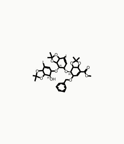 COC(=O)C1=CC(OCc2ccccc2)[C@@H](OC2C=C(I)C3OC(C)(C)OC3[C@@H]2OC2C=C(I)C3OC(C)(C)OC3[C@@H]2O)C2OC(C)(C)OC12